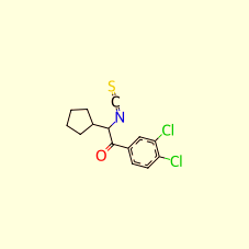 O=C(c1ccc(Cl)c(Cl)c1)C(N=C=S)C1CCCC1